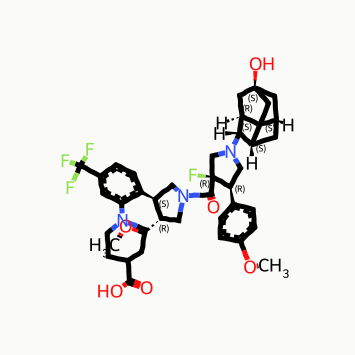 COC[C@H]1CN(C(=O)[C@]2(F)CN([C@@H]3[C@@H]4C[C@@H]5C[C@H]3C[C@@](O)(C5)C4)C[C@H]2c2ccc(OC)cc2)C[C@@H]1c1ccc(C(F)(F)F)cc1N1CCC(C(=O)O)CC1